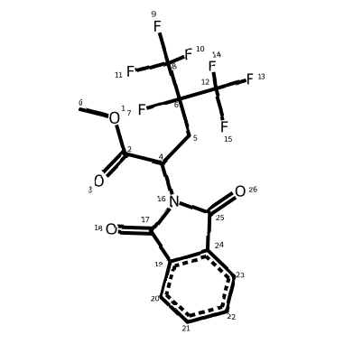 COC(=O)C(CC(F)(C(F)(F)F)C(F)(F)F)N1C(=O)c2ccccc2C1=O